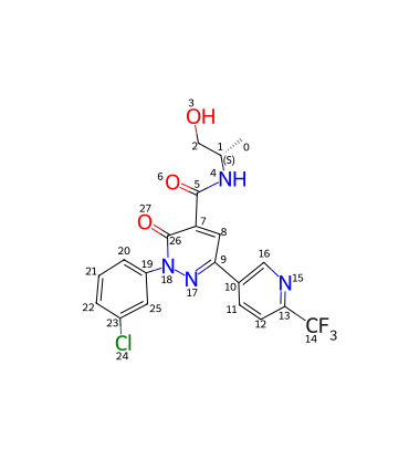 C[C@@H](CO)NC(=O)c1cc(-c2ccc(C(F)(F)F)nc2)nn(-c2cccc(Cl)c2)c1=O